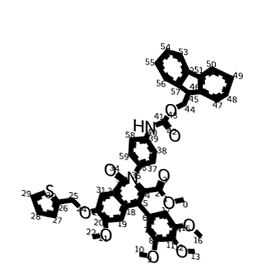 COC(=O)c1c(-c2cc(OC)c(OC)c(OC)c2)c2cc(OC)c(OCc3cccs3)cc2c(=O)n1-c1ccc(NC(=O)OCC2c3ccccc3-c3ccccc32)cc1